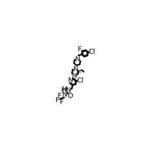 CC[C@H]1CN(c2ncc(CNC(=O)NCC(F)(F)F)cc2Cl)CCN1C1CCN(Cc2ccc(Cl)cc2F)CC1